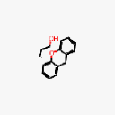 [CH2]CCO.c1ccc2c(c1)Cc1ccccc1O2